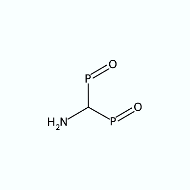 NC(P=O)P=O